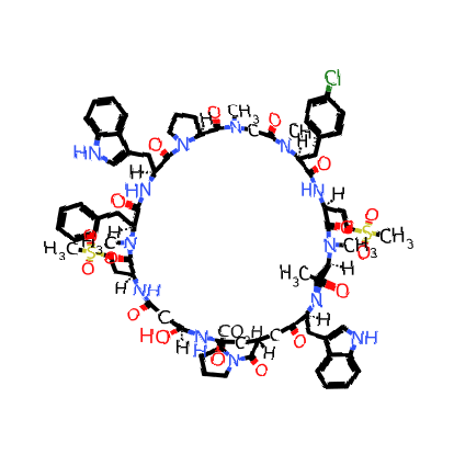 CC1[C@H]2C(=O)N1[C@@H](Cc1c[nH]c3ccccc13)C(=O)C[C@H](C(=O)N1CCC[C@H]1C(=O)O)CC(=O)N[C@@H](O)CC(=O)N[C@@H](CCS(C)(=O)=O)C(=O)N(C)[C@@H](Cc1ccccc1)C(=O)N[C@@H](Cc1c[nH]c3ccccc13)C(=O)N1CCC[C@H]1C(=O)N(C)CC(=O)N(C)[C@@H](Cc1ccc(Cl)cc1)C(=O)N[C@@H](CCS(C)(=O)=O)C(=O)N2C